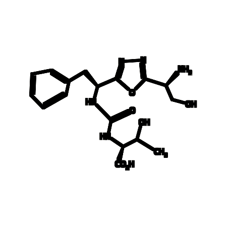 CC(O)[C@H](NC(=O)N[C@@H](Cc1ccccc1)c1nnc([C@@H](N)CO)o1)C(=O)O